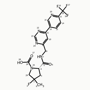 CC1(F)C[C@@H](C(=O)NCc2cc(-c3ccc(C(F)(F)F)nc3)ncn2)N(C(=O)O)C1